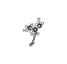 Cc1c(O)c(=O)ccn1-c1cc(C(=O)NCCCCN=[N+]=[N-])cc(-n2ccc(=O)c(O)c2C)c1